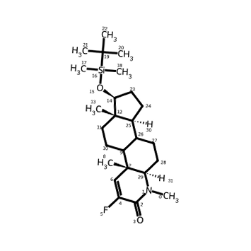 CN1C(=O)C(F)=C[C@]2(C)C3CC[C@]4(C)[C@@H](O[Si](C)(C)C(C)(C)C)CC[C@H]4C3CC[C@@H]12